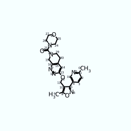 Cc1ccc(-c2noc(C)c2COc2cc3c(nn2)CN(C(=O)N2CCOCC2)CC3)cn1